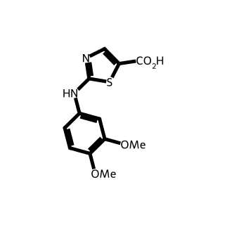 COc1ccc(Nc2ncc(C(=O)O)s2)cc1OC